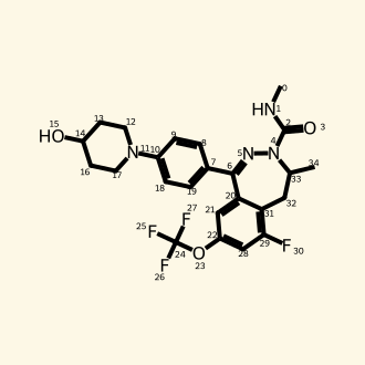 CNC(=O)N1N=C(c2ccc(N3CCC(O)CC3)cc2)c2cc(OC(F)(F)F)cc(F)c2CC1C